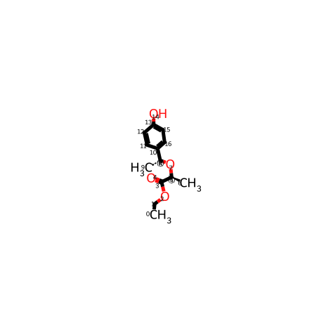 CCOC(=O)[C@H](C)O[C@H](C)c1ccc(O)cc1